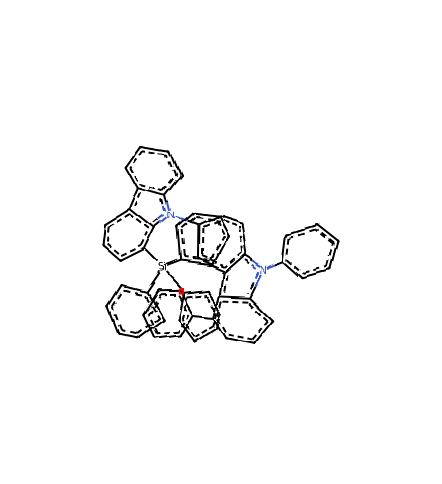 c1ccc(-c2cccc3c2c2cc(-n4c5ccccc5c5cccc([Si](c6ccccc6)(c6ccccc6)c6ccccc6)c54)ccc2n3-c2ccccc2)cc1